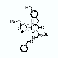 CC[C@H](C)[C@@H](C=NOCc1ccccc1)NC(=O)[C@H](Cc1ccc(O)cc1)NC(=O)[C@@H](NC(=O)OC(C)(C)C)C(C)C